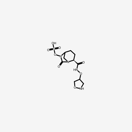 O=C(NOC1CNOC1)[C@@H]1CCC2CN1C(=O)N2OS(=O)(=O)O